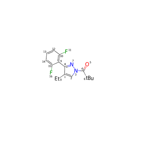 CCc1cn(C(=O)C(C)(C)C)nc1-c1c(F)cccc1F